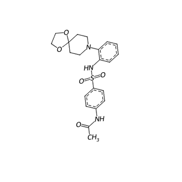 CC(=O)Nc1ccc(S(=O)(=O)Nc2ccccc2N2CCC3(CC2)OCCO3)cc1